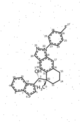 C[C@]1([C@@H](O)c2csc3ccccc23)CCCc2cc3c(cnn3-c3ccc(F)cc3)cc21